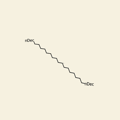 CCCCCCCCCCCCCCCCC[CH]CCCCCCCCCCCCCCCCCCC